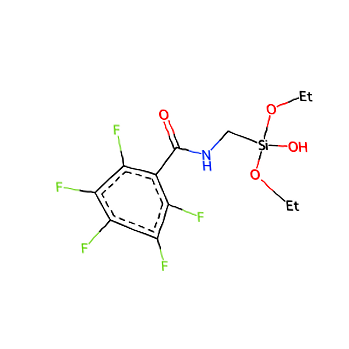 CCO[Si](O)(CNC(=O)c1c(F)c(F)c(F)c(F)c1F)OCC